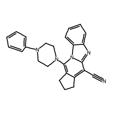 N#Cc1c2c(c(N3CCN(c4ccccc4)CC3)n3c1nc1ccccc13)CCC2